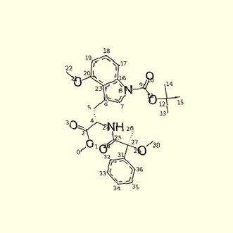 COC(=O)[C@H](Cc1cn(C(=O)OC(C)(C)C)c2cccc(OC)c12)NC(=O)[C@@](C)(OC)c1ccccc1